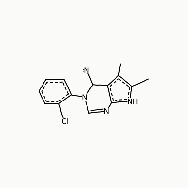 Cc1[nH]c2c(c1C)C([N])N(c1ccccc1Cl)C=N2